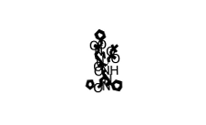 CC(C)(C)OC(=O)CC[C@H](NC(=O)c1cc(OC2CCCC2)nc(-c2ccccc2)n1)C(=O)N1CCN(C(=O)Oc2ccccc2)CC1